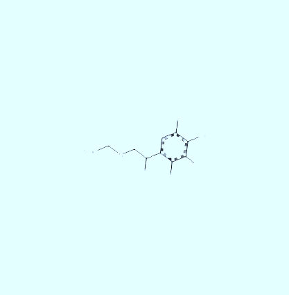 CCCCCCCCCCNCC(O)c1cc(CC)c(O)c(O)c1Cl